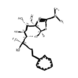 CN(C)C1=N[C@@H]2[C@@H](O)[C@H](O)[C@@H]([C@](O)(CCc3ccccc3)C(F)(F)F)O[C@@H]2S1